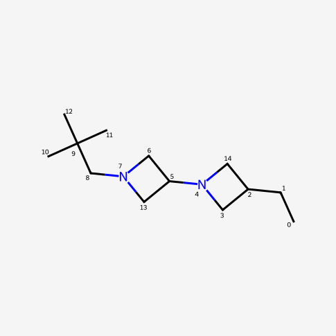 CCC1CN(C2CN(CC(C)(C)C)C2)C1